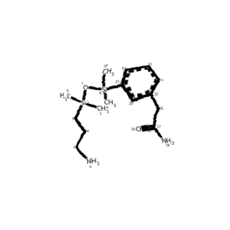 C[Si](C)(CCCN)O[Si](C)(C)c1cccc(CC(N)=O)c1